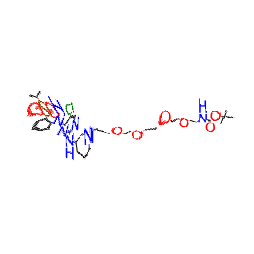 CC(C)S(=O)(=O)c1ccccc1Nc1nc(N[C@@H]2CCCN(CCOCCOCCOCCOCCNC(=O)OC(C)(C)C)C2)ncc1Cl